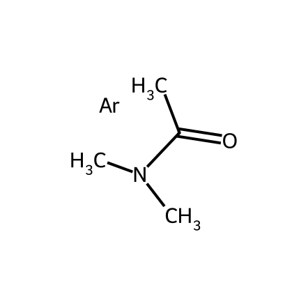 CC(=O)N(C)C.[Ar]